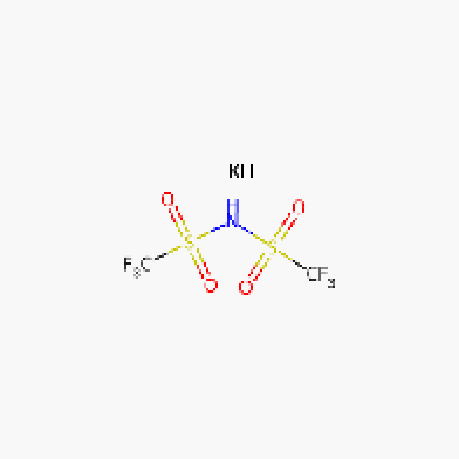 O=S(=O)(NS(=O)(=O)C(F)(F)F)C(F)(F)F.[KH]